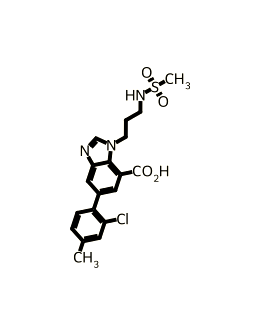 Cc1ccc(-c2cc(C(=O)O)c3c(c2)ncn3CCCNS(C)(=O)=O)c(Cl)c1